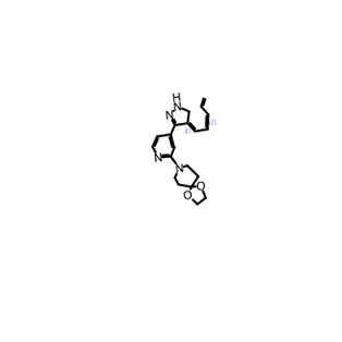 C=C/C=C\C=C1/CNN=C1c1ccnc(N2CCC3(CC2)OCCO3)c1